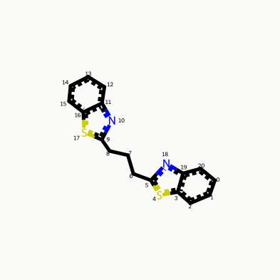 c1ccc2sc(CCCc3nc4ccccc4s3)nc2c1